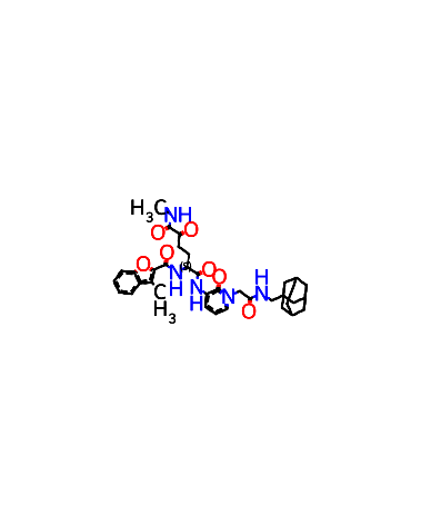 CNC(=O)C(=O)CC[C@H](NC(=O)c1oc2ccccc2c1C)C(=O)Nc1cccn(CC(=O)NCC23CC4CC(CC(C4)C2)C3)c1=O